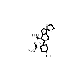 COC(=O)[C@H]1C[C@@H](O)CC[C@]1(C)[C@H]1CC[C@@]2(C)[C@@H](CCC23OCCO3)[C@@H]1C=N